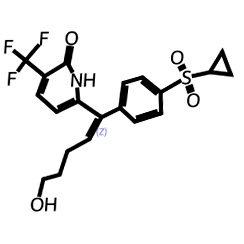 O=c1[nH]c(/C(=C\CCCO)c2ccc(S(=O)(=O)C3CC3)cc2)ccc1C(F)(F)F